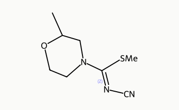 CS/C(=N\C#N)N1CCOC(C)C1